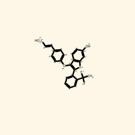 CC(F)(F)c1ccccc1-c1sc2cc(O)ccc2c1Oc1ccc(/C=C/C(=O)O)cc1